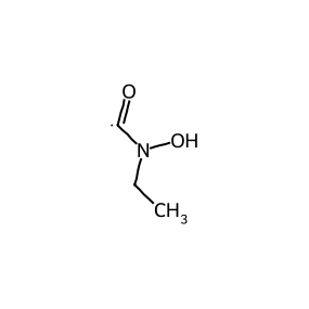 CCN(O)[C]=O